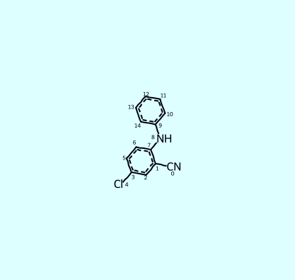 N#Cc1cc(Cl)ccc1Nc1ccccc1